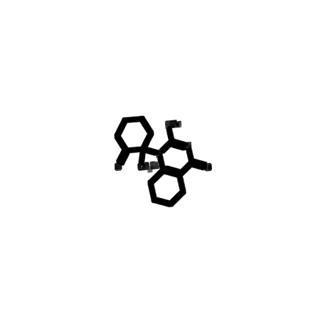 CCOC(=O)C1(n2c(SC)nc(=O)c3c2CCCC3)CCCCC1=O